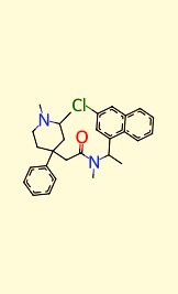 CC1CC(CC(=O)N(C)C(C)c2cc(Cl)cc3ccccc23)(c2ccccc2)CCN1C